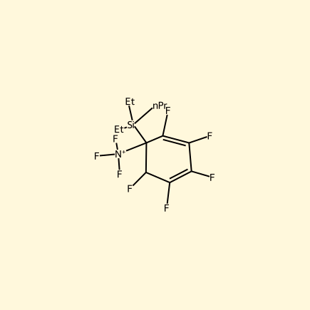 CCC[Si](CC)(CC)C1([N+](F)(F)F)C(F)=C(F)C(F)=C(F)C1F